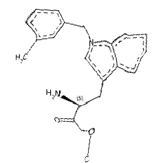 Cc1cccc(Cn2cc(C[C@H](N)C(=O)OCl)c3ccccc32)c1